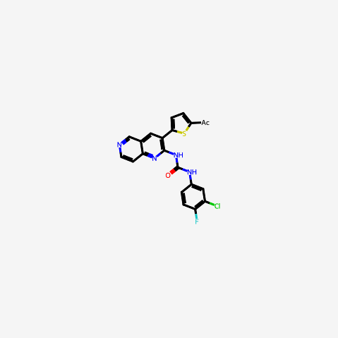 CC(=O)c1ccc(-c2cc3cnccc3nc2NC(=O)Nc2ccc(F)c(Cl)c2)s1